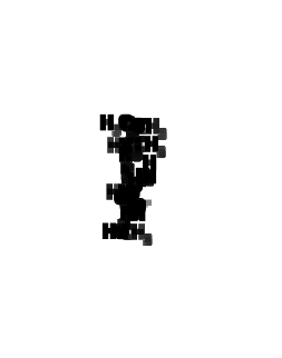 COc1cc2c(cc1OC)C(CN1CCN(C3CC4(CCN(c5ccc(C(=O)NS(=O)(=O)c6ccc(NC[C@H]7CC[C@](C)(O)CC7)c([N+](=O)[O-])c6)c(Oc6cnc7[nH]ccc7c6)c5)CC4)C3)[C@H](c3ccccc3C(C)C)C1)C2